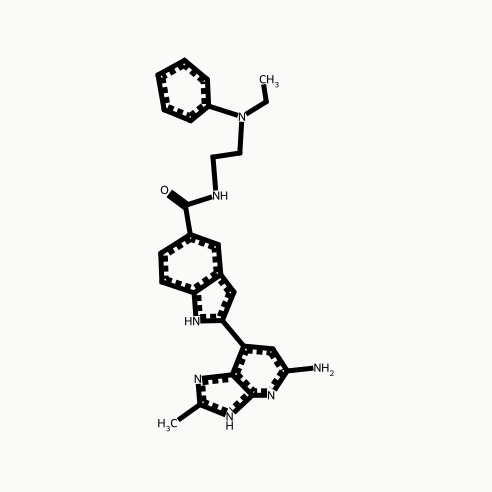 CCN(CCNC(=O)c1ccc2[nH]c(-c3cc(N)nc4[nH]c(C)nc34)cc2c1)c1ccccc1